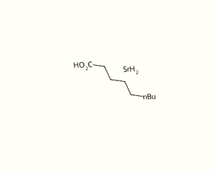 CCCCCCCCC(=O)O.[SrH2]